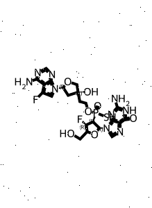 Nc1nc2c(ncn2[C@@H]2OC(CO)[C@@H](F)[C@H]2P(=O)(S)OCC[C@]2(O)CO[C@@H](n3cc(F)c4c(N)ncnc43)C2)c(=O)[nH]1